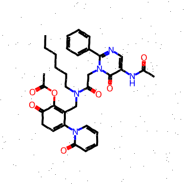 CCCCCCN(CC1=C(OC(C)=O)C(=O)CC=C1n1ccccc1=O)C(=O)Cn1c(-c2ccccc2)ncc(NC(C)=O)c1=O